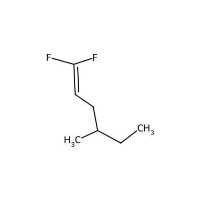 CCC(C)CC=C(F)F